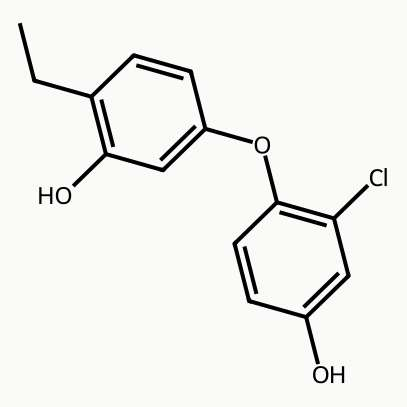 CCc1ccc(Oc2ccc(O)cc2Cl)cc1O